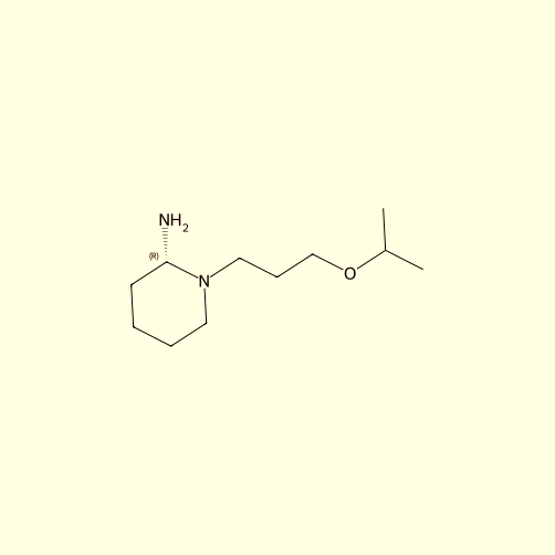 CC(C)OCCCN1CCCC[C@@H]1N